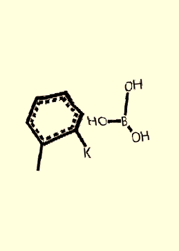 Cc1cccc[c]1[K].OB(O)O